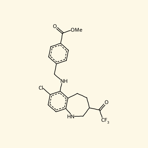 COC(=O)c1ccc(CNc2c(Cl)ccc3c2CCC(C(=O)C(F)(F)F)CN3)cc1